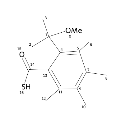 COC(C)(C)c1c(C)c(C)c(C)c(C)c1C(=O)S